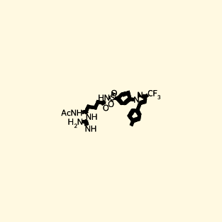 CC(=O)NC(CCCC(=O)NS(=O)(=O)c1ccc(-n2nc(C(F)(F)F)cc2-c2ccc(C)cc2)cc1)NC(=N)N